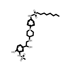 CCCCCCCCS(=O)(=O)Nc1ccc(N2CCC(NCC(O)c3ccc(O)c(NS(C)(=O)=O)c3)CC2)cc1